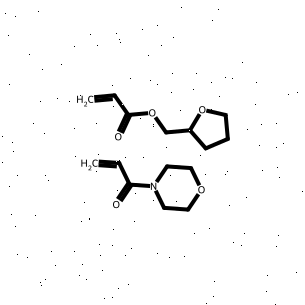 C=CC(=O)N1CCOCC1.C=CC(=O)OCC1CCCO1